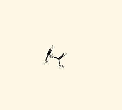 C#CC.CCC(N)=O